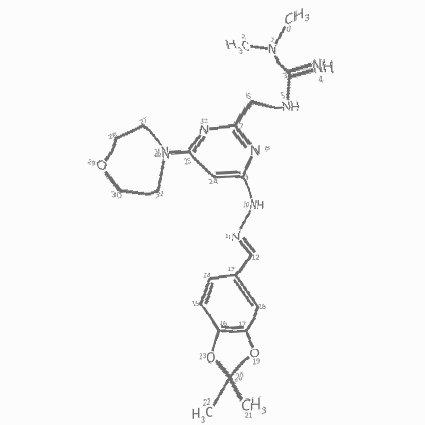 CN(C)C(=N)NCc1nc(N/N=C/c2ccc3c(c2)OC(C)(C)O3)cc(N2CCOCC2)n1